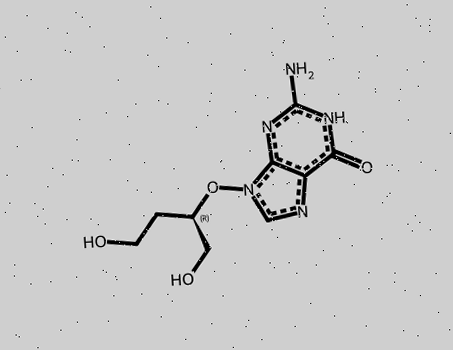 Nc1nc2c(ncn2O[C@@H](CO)CCO)c(=O)[nH]1